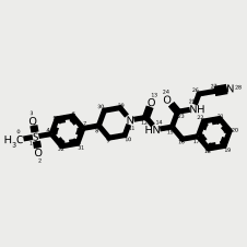 CS(=O)(=O)c1ccc(C2CCN(C(=O)NC(Cc3ccccc3)C(=O)NCC#N)CC2)cc1